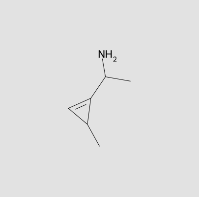 CC(N)C1=CC1C